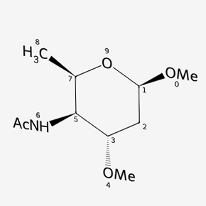 CO[C@H]1C[C@H](OC)[C@@H](NC(C)=O)[C@@H](C)O1